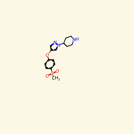 CS(=O)(=O)c1ccc(Oc2cnn(C3CCNCC3)c2)cc1